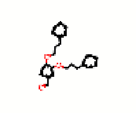 O=Cc1ccc(OCCCc2ccccc2)c(OCCCc2ccccc2)c1